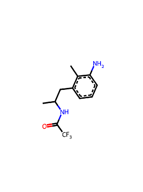 Cc1c(N)cccc1CC(C)NC(=O)C(F)(F)F